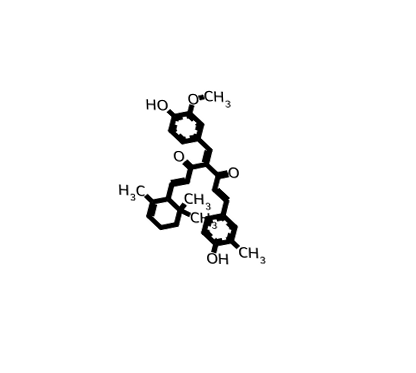 COc1cc(/C=C(/C(=O)/C=C/c2ccc(O)c(C)c2)C(=O)/C=C/C2C(C)=CCCC2(C)C)ccc1O